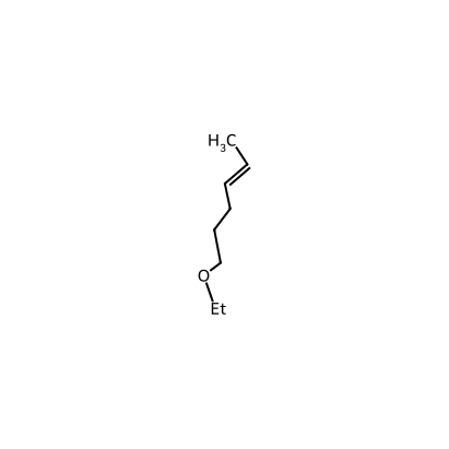 [CH2]COCCCC=CC